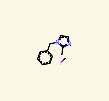 CI.Cc1nccn1Cc1ccccc1